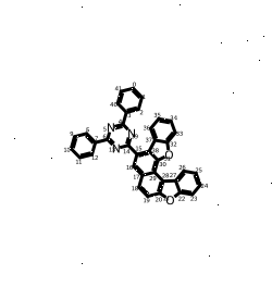 c1ccc(-c2nc(-c3ccccc3)nc(-c3cc4ccc5oc6ccccc6c5c4c4oc5ccccc5c34)n2)cc1